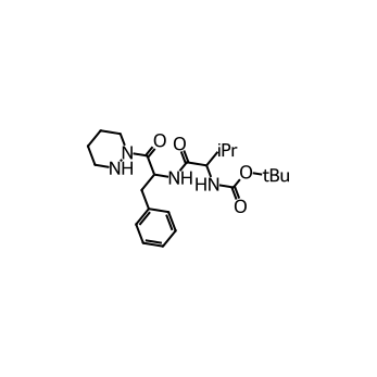 CC(C)C(NC(=O)OC(C)(C)C)C(=O)NC(Cc1ccccc1)C(=O)N1CCCCN1